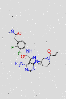 C=CC(=O)N1CCC[C@@H](n2nc(C(=O)Nc3ccc(CC(=O)N(C)C)c(F)c3Cl)c3c(N)ncnc32)C1